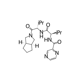 CC(C)[C@H](NC(=O)[C@H](NC(=O)c1cnccn1)C(C)C)C(=O)N1C[C@H]2CCC[C@H]2C1